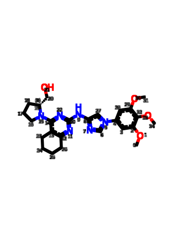 COc1cc(-n2cnc(Nc3nc4c(c(N5CCC[C@@H]5CO)n3)CCCC4)c2)cc(OC)c1OC